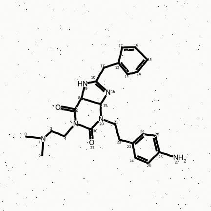 CN(C)CCN1C(=O)C2NC(Cc3ccccc3)=NC2N(CCc2ccc(N)cc2)C1=O